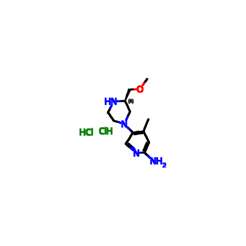 COC[C@H]1CN(c2cnc(N)cc2C)CCN1.Cl.Cl